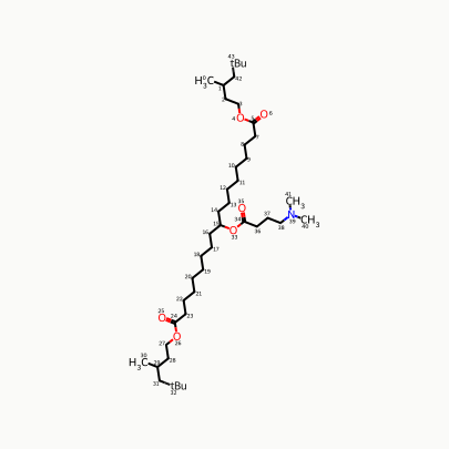 CC(CCOC(=O)CCCCCCCCC(CCCCCCCCC(=O)OCCC(C)CC(C)(C)C)OC(=O)CCCN(C)C)CC(C)(C)C